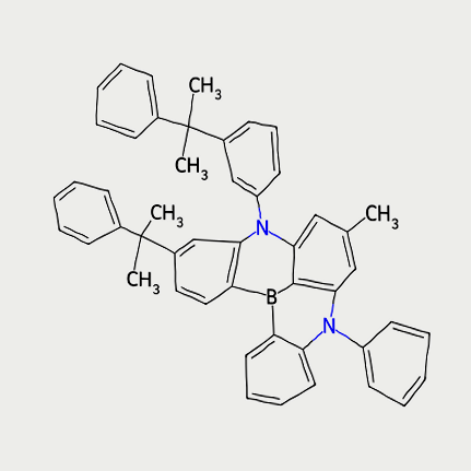 Cc1cc2c3c(c1)N(c1cccc(C(C)(C)c4ccccc4)c1)c1cc(C(C)(C)c4ccccc4)ccc1B3c1ccccc1N2c1ccccc1